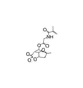 C=C(C)C(=O)NCC(=O)OC1C2C3OC1(C)CC3OS2(=O)=O